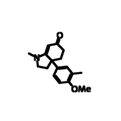 COc1ccc(C23CCC(=O)C=C2N(C)CC3)cc1C